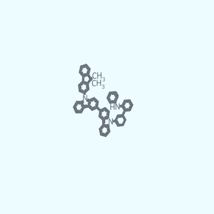 CC1(C)c2ccccc2-c2ccc(-n3c4ccccc4c4cc(-c5ccc6c(c5)c5ccccc5n6C5=CCCC(c6ccccc6Nc6c#cccc6)=C5)ccc43)cc21